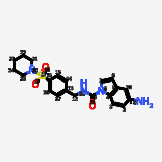 Nc1ccc2c(ccn2C(=O)NCc2ccc(S(=O)(=O)N3CCCCC3)cc2)c1